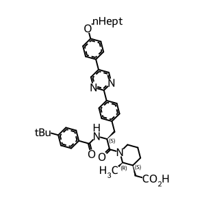 CCCCCCCOc1ccc(-c2cnc(-c3ccc(C[C@H](NC(=O)c4ccc(C(C)(C)C)cc4)C(=O)N4CCC[C@@H](CC(=O)O)[C@H]4C)cc3)nc2)cc1